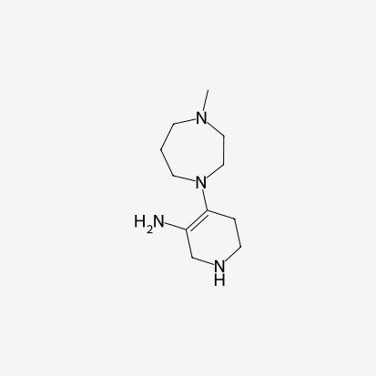 CN1CCCN(C2=C(N)CNCC2)CC1